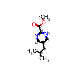 COC(=O)c1ncc(CC(C)C)cn1